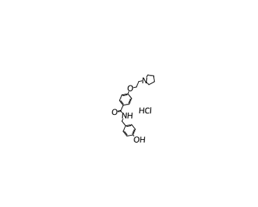 Cl.O=C(NCc1ccc(O)cc1)c1ccc(OCCN2CCCC2)cc1